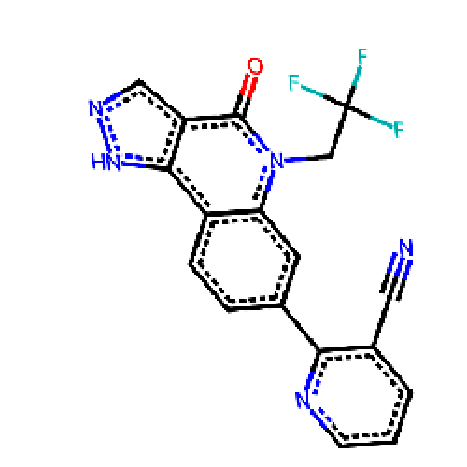 N#Cc1cccnc1-c1ccc2c3[nH]ncc3c(=O)n(CC(F)(F)F)c2c1